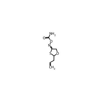 C=CCC1OCC(=NOC(N)=O)S1